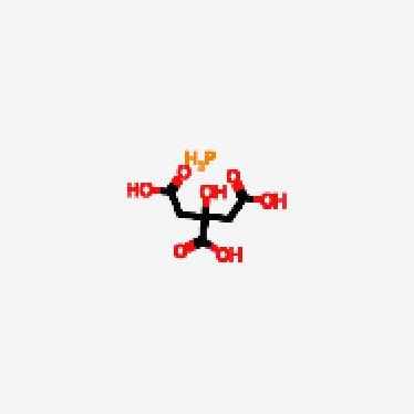 O=C(O)CC(O)(CC(=O)O)C(=O)O.P